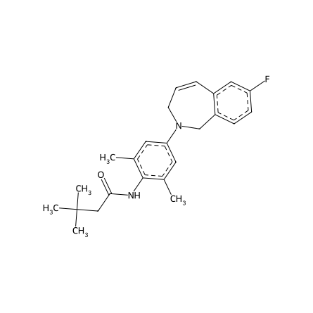 Cc1cc(N2CC=Cc3cc(F)ccc3C2)cc(C)c1NC(=O)CC(C)(C)C